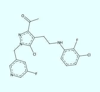 CC(=O)c1nn(Cc2cncc(F)c2)c(Cl)c1CCNc1cccc(Cl)c1F